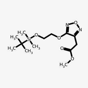 COC(=O)Cc1nonc1OCCO[Si](C)(C)C(C)(C)C